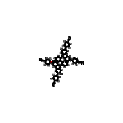 N#Cc1ccc(-c2ccc3c(c2)c2cc(-c4ccc(C#N)cc4)ccc2n3-c2ccc(C#N)cc2-c2ncccc2-n2c3ccc(-c4ccc(C#N)cc4)cc3c3cc(-c4ccc(C#N)cc4)ccc32)cc1